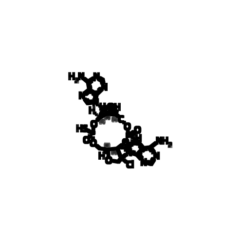 Nc1ncnc2c1ccn2[C@]1(Cl)CO[C@@H]2COP(=O)(S)O[C@@H]3[C@H](O)[C@@H](COP(=O)(S)O[C@H]21)O[C@H]3n1cnc2c(N)ncnc21